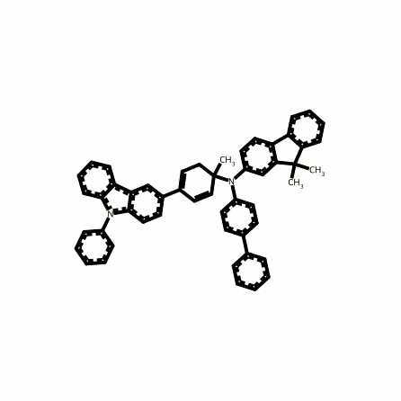 CC1(C)c2ccccc2-c2ccc(N(c3ccc(-c4ccccc4)cc3)C3(C)C=CC(c4ccc5c(c4)c4ccccc4n5-c4ccccc4)=CC3)cc21